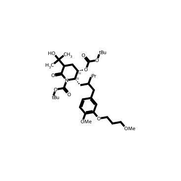 COCCCOc1cc(CC(C[C@H]2[C@@H](OC(=O)OC(C)(C)C)CC(C(C)(C)O)C(=O)N2C(=O)OC(C)(C)C)C(C)C)ccc1OC